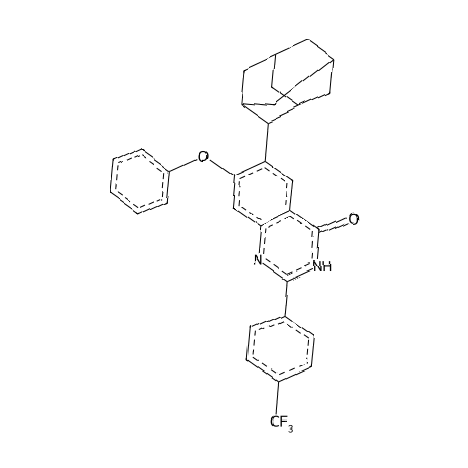 O=c1[nH]c(-c2ccc(C(F)(F)F)cc2)nc2cc(Oc3ccccc3)c(C3C4CC5CC(C4)CC3C5)cc12